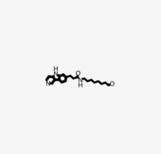 O=CCCCCCCCNC(=O)CCc1ccc2c(c1)[nH]c1ccncc12